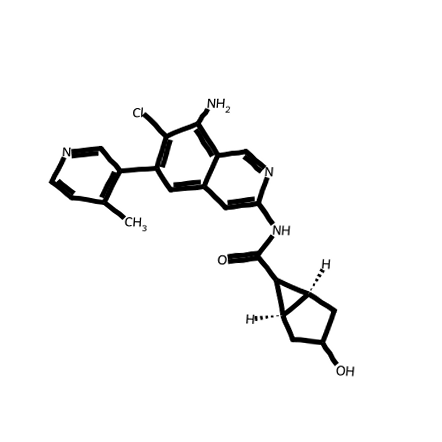 Cc1ccncc1-c1cc2cc(NC(=O)C3[C@H]4CC(O)C[C@@H]34)ncc2c(N)c1Cl